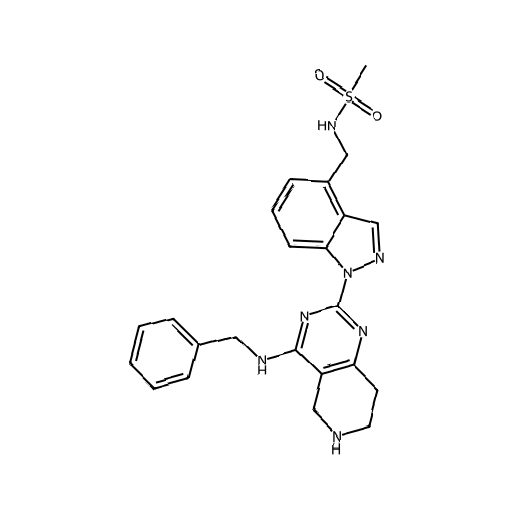 CS(=O)(=O)NCc1cccc2c1cnn2-c1nc2c(c(NCc3ccccc3)n1)CNCC2